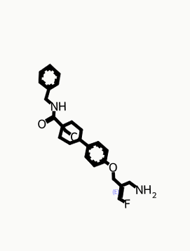 NC/C(=C\F)COc1ccc(C23CCC(C(=O)NCc4ccccc4)(CC2)CC3)cc1